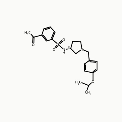 CC(=O)c1cccc(S(=O)(=O)N[C@@H]2CCN(Cc3ccc(OC(C)C)cc3)C2)c1